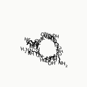 CC(=O)NC(CS)C(=O)NC1CSSCC(C(N)=O)NC(=O)C(CC(=O)O)NC(=O)C2CCCN2C(=O)CNC(=O)C(CCCCN)NC(=O)C(CC(=O)O)NC(=O)CNC(=O)C(CCCNC(=N)N)NC1=O